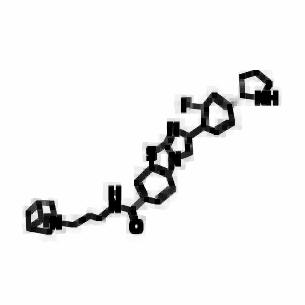 O=C(NCCCN1CC2CC(C1)C2F)c1ccc2c(c1)sc1nc(-c3ccc([C@@H]4CCCN4)cc3F)cn12